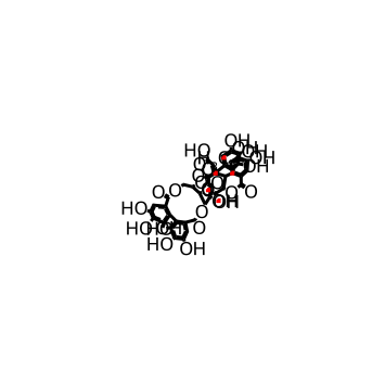 Cc1c(O)c(O)cc2c1C(/C(=C/C(=O)O)C(=O)OC1C3COC(=O)c4cc(O)c(O)c(O)c4-c4c(cc(O)c(O)c4O)C(=O)OC1C(O)C(OC(=O)c1cc(O)c(O)c(O)c1)O3)C(C(=O)O)OC2=O